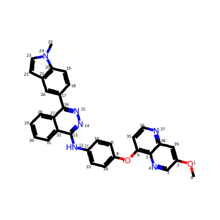 COc1cnc2c(Oc3ccc(Nc4nnc(-c5ccc6c(ccn6C)c5)c5ccccc45)cc3)ccnc2c1